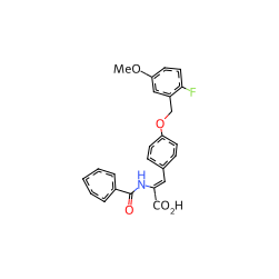 COc1ccc(F)c(COc2ccc(/C=C(\NC(=O)c3ccccc3)C(=O)O)cc2)c1